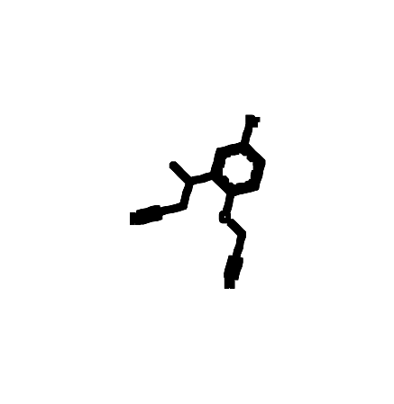 CC(CC#N)c1cc(Br)ccc1OCC#N